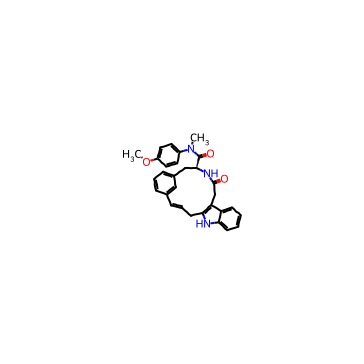 COc1ccc(N(C)C(=O)[C@@H]2Cc3cccc(c3)/C=C/Cc3[nH]c4ccccc4c3CC(=O)N2)cc1